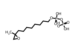 CC1(CCCCCCCCOP(=O)(O)OP(=O)(O)O)CO1